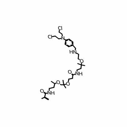 C=C(C)C(=O)NCCC(C)OCC(C)(C)OCCC(=O)NCCC(C)(C)OCCNCc1ccc(N(CCCl)CCCl)cc1